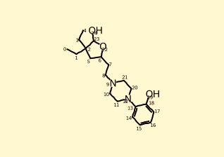 CCC1(CC)CC(CCN2CCN(c3ccccc3O)CC2)OC1O